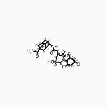 CC1(O)CN(CC(=O)NC2C3CC4CC2CC(C(N)=O)(C4)C3)S(=O)(=O)N(c2c(Cl)cc(Cl)cc2Cl)C1